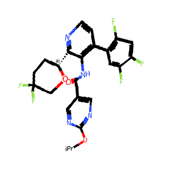 CC(C)Oc1ncc(C(=O)Nc2c(-c3cc(F)c(F)cc3F)ccnc2[C@H]2CCC(F)(F)CO2)cn1